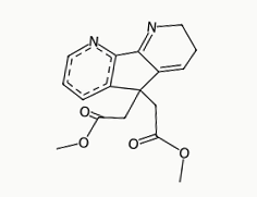 COC(=O)CC1(CC(=O)OC)C2=CCCN=C2c2ncccc21